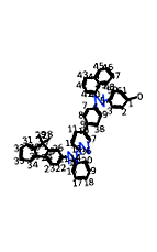 Cc1ccc(N(c2ccc(-c3ccc(N(c4ccccc4)c4ccc5c(c4)C(C)(C)c4ccccc4-5)nc3)cc2)c2cccc3ccccc23)cc1